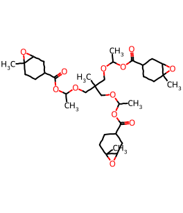 CC(OCC(C)(COC(C)OC(=O)C1CCC2(C)OC2C1)COC(C)OC(=O)C1CCC2(C)OC2C1)OC(=O)C1CCC2(C)OC2C1